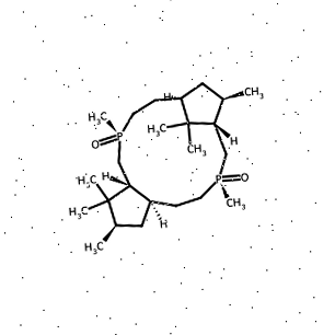 C[C@@H]1C[C@@H]2CC[P@@](C)(=O)C[C@@H]3[C@@H](CC[P@@](C)(=O)C[C@@H]1C2(C)C)C[C@@H](C)C3(C)C